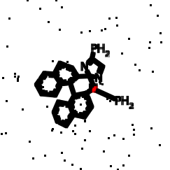 PC1=NC2(N=C1)c1ccc3ccccc3c1-c1c(ccc3ccccc13)C21N=CC(P)=N1